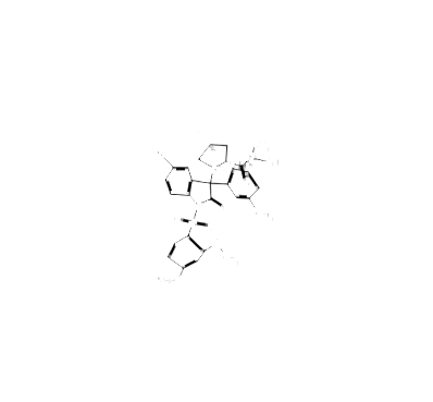 COc1ccc(S(=O)(=O)N2C(=O)C(c3cc(C)ccc3OC)(N3C[C@H](O)C[C@H]3C(=O)N(C)C)c3cc(N)ccc32)c(OC(F)(F)F)c1